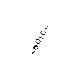 CCCc1ccc([C@H]2CC[C@H](CC(C#N)[C@H]3CC[C@H](CCC)CC3)CC2)cc1